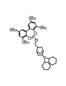 CC(C)(C)c1cc(C(C)(C)C)c2op(OCC3CC4CC3CC4P3C4CCCCC45CCCCC35)oc3c(C(C)(C)C)cc(C(C)(C)C)cc3c2c1